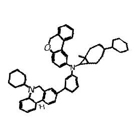 CC12CCC(C3CCCCC3)CCC1C2N(C1=CC(c2ccc3c(c2)CN(C2CCCCC2)C2C=CC=C[C@H]32)CC=C1)c1ccc2c(c1)-c1ccccc1CO2